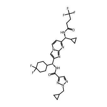 O=C(CCC(F)(F)F)N[C@H](c1ccn2cc([C@@H](NC(=O)c3cnn(CC4CC4)n3)C3CCC(F)(F)CC3)nc2n1)C1CC1